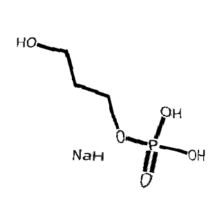 O=P(O)(O)OCCCO.[NaH]